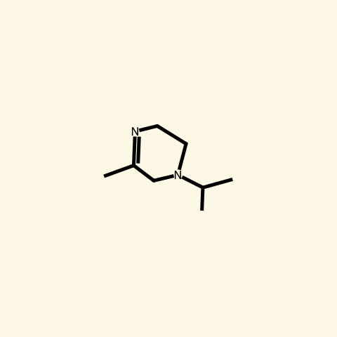 CC1=NCCN(C(C)C)C1